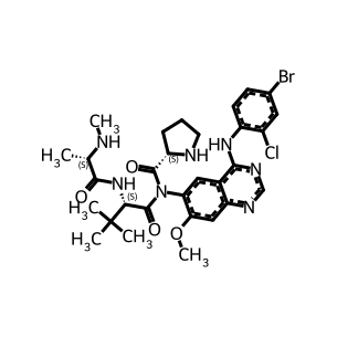 CN[C@@H](C)C(=O)N[C@H](C(=O)N(C(=O)[C@@H]1CCCN1)c1cc2c(Nc3ccc(Br)cc3Cl)ncnc2cc1OC)C(C)(C)C